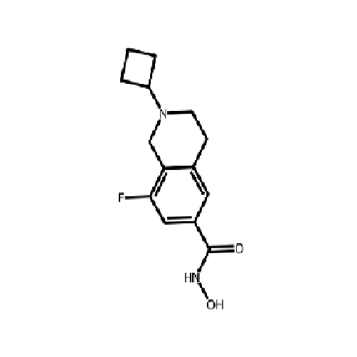 O=C(NO)c1cc(F)c2c(c1)CCN(C1CCC1)C2